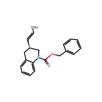 COC=C[C@@H]1Cc2ccccc2N(C(=O)OCc2ccccc2)C1